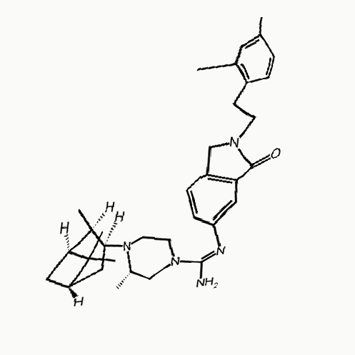 Cc1ccc(CCN2Cc3ccc(N=C(N)N4CCN([C@H]5C[C@@H]6C[C@@H]([C@H]5C)C6(C)C)[C@@H](C)C4)cc3C2=O)c(C)c1